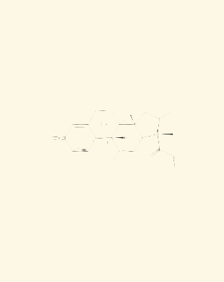 CC1C[C@H]2[C@@H]3CCC4=CC(=O)C=C[C@]4(C)[C@@]3(F)C(O)C[C@]2(C)[C@@]1(C)C(=O)CF